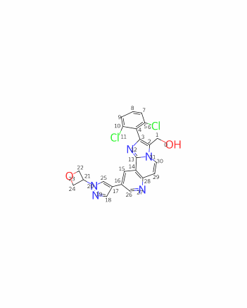 OCc1c(-c2c(Cl)cccc2Cl)nc2c3cc(-c4cnn(C5COC5)c4)cnc3ccn12